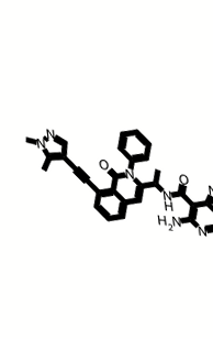 Cc1c(C#Cc2cccc3cc(C(C)NC(=O)c4c(N)ncn5ccnc45)n(-c4ccccc4)c(=O)c23)cnn1C